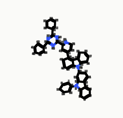 C1=CC(n2c3ccccc3c3ccc(-n4c5ccccc5c5c(-c6ccnc(-c7nc(-c8ccccc8)nc(-c8ccccc8)n7)c6)cccc54)cc32)=CCC1